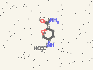 NC(=O)[C@@H]1CC[C@@H](NC(=O)O)CO1